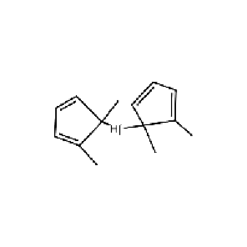 CC1=CC=C[C]1(C)[Hf][C]1(C)C=CC=C1C